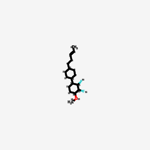 C/C=C/CCC1CCC(C2CCC(OC)C(F)C2F)CC1